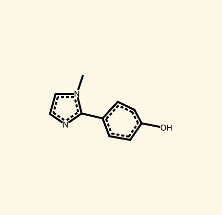 Cn1ccnc1-c1ccc(O)cc1